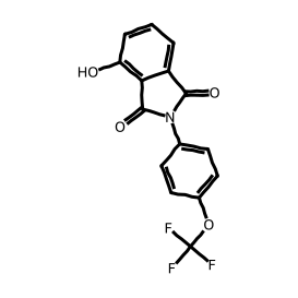 O=C1c2cccc(O)c2C(=O)N1c1ccc(OC(F)(F)F)cc1